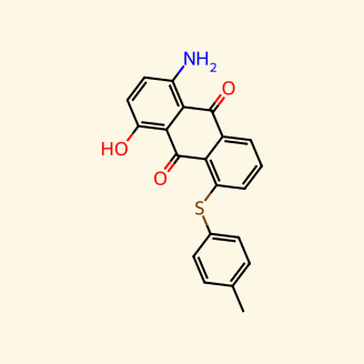 Cc1ccc(Sc2cccc3c2C(=O)c2c(O)ccc(N)c2C3=O)cc1